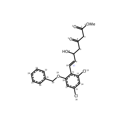 COC(=O)CC(=O)CC(O)/C=C/c1c(Cl)cc(Cl)cc1OCc1ccccc1